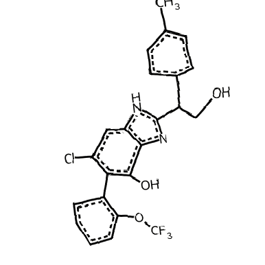 Cc1ccc(C(CO)c2nc3c(O)c(-c4ccccc4OC(F)(F)F)c(Cl)cc3[nH]2)cc1